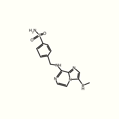 CBc1cnc2c(NCc3ccc(S(N)(=O)=O)cc3)nccn12